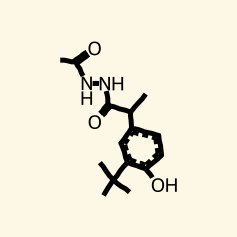 CC(=O)NNC(=O)C(C)c1ccc(O)c(C(C)(C)C)c1